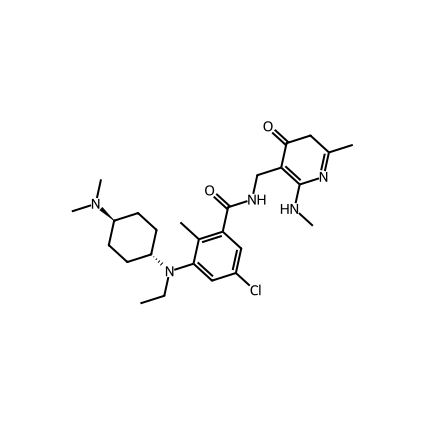 CCN(c1cc(Cl)cc(C(=O)NCC2=C(NC)N=C(C)CC2=O)c1C)[C@H]1CC[C@H](N(C)C)CC1